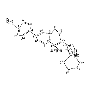 Brc1ccc(-c2ccc3c(c2)CCc2[nH]c([C@@H]4CCCCN4)nc2-3)cc1